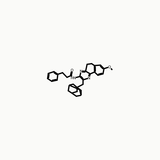 COc1ccc2c(c1)CCc1nc(NC(=O)CCc3ccccc3)c(CC34CC5CC(CC(C5)C3)C4)nc1-2